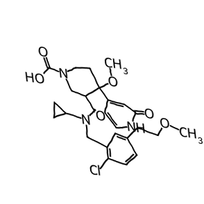 COCCc1ccc(Cl)c(CN(C(=O)C2CN(C(=O)O)CCC2(OC)c2cc[nH]c(=O)c2)C2CC2)c1